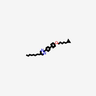 CCCCCCCCc1cnc(-c2ccc(-c3ccc(OCCCCCC4CC4)cc3)cc2)nc1